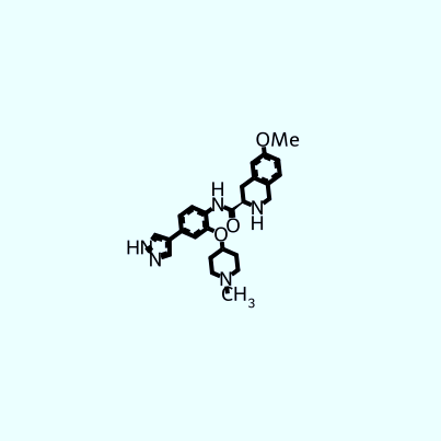 COc1ccc2c(c1)C[C@H](C(=O)Nc1ccc(-c3cn[nH]c3)cc1OC1CCN(C)CC1)NC2